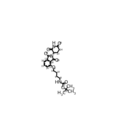 CC(C)(C)OC(=O)NCCCCOc1cccc2c1C(=O)N(C1CCC(=O)NC1=O)C2=O